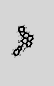 Cc1ccc2ccc3c4c2c1C(C1=Cc2ccccc2C1)C(=O)C4C1=C(C3)c2ccccc2C1